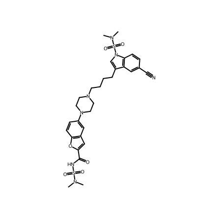 CN(C)S(=O)(=O)NC(=O)c1cc2cc(N3CCN(CCCCc4cn(S(=O)(=O)N(C)C)c5ccc(C#N)cc45)CC3)ccc2o1